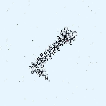 CCO[Si](C)(C)O[SiH2][Si](=O)[Si](=O)[Si](=O)[Si](=O)[Si](=O)[Si](=O)[Si](=O)[Si](=O)[Si](=O)[Si](=O)[Si](=O)[Si](=O)[Si](=O)[Si](=O)[Si](=O)[Si](=O)[Si](=O)[Si](=O)[Si](=O)[Si](=O)[Si](=O)[Si](=O)[Si](=O)[Si](=O)[Si](=O)[Si](=O)[Si](=O)[Si](c1ccccc1)(c1ccccc1)C(C)(C)O[Si](C)(C)C